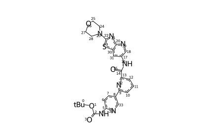 CC(C)(C)OC(=O)Nc1ccc(-c2cccc(C(=O)Nc3cnc4nc(N5CCOCC5)sc4c3)n2)cn1